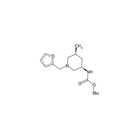 C[C@H]1C[C@@H](NC(=O)OC(C)(C)C)CN(Cc2ccco2)C1